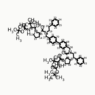 CC(C)(C)OC(=O)N[C@H](C(=O)N1CCC[C@H]1C(=O)N(CCc1ccccc1)Cc1ccc(-c2ccc(CN(CCc3ccccc3)C(=O)[C@@H]3CCCN3C(=O)[C@@H](NC(=O)OC(C)(C)C)C(C)(C)C)cc2)cc1)C(C)(C)C